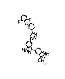 Cc1n[nH]c2ccc(-c3n[nH]c4ccc(-n5cc(C6CCCN(Cc7c(F)cccc7F)C6)nn5)cc34)cc12